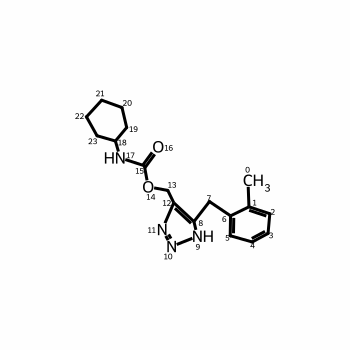 Cc1ccccc1Cc1[nH]nnc1COC(=O)NC1CCCCC1